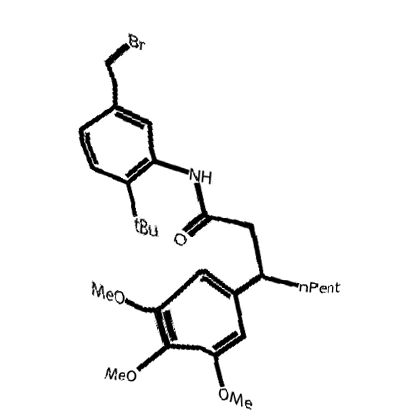 CCCCCC(CC(=O)Nc1cc(CBr)ccc1C(C)(C)C)c1cc(OC)c(OC)c(OC)c1